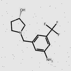 Nc1cc(CN2CC[C@H](O)C2)cc(C(F)(F)F)c1